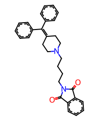 O=C1c2ccccc2C(=O)N1CCCCN1CCC(=C(c2ccccc2)c2ccccc2)CC1